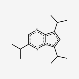 CC(C)c1cnc2c(C(C)C)cc(C(C)C)n2n1